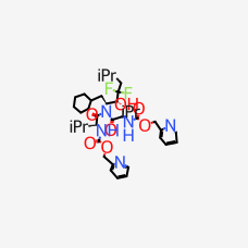 CC(C)CC(F)(F)[C@H](O)[C@H](CC1CCCCC1)N(C(=O)[C@@H](NC(=O)OCc1ccccn1)C(C)C)C(=O)[C@@H](NC(=O)OCc1ccccn1)C(C)C